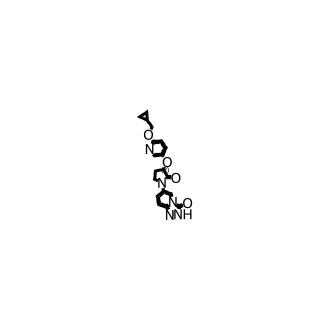 O=C1[C@H](Oc2ccc(OCC3CC3)nc2)CCN1c1ccc2n[nH]c(=O)n2c1